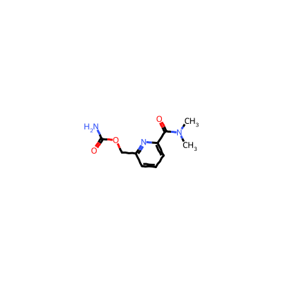 CN(C)C(=O)c1cccc(COC(N)=O)n1